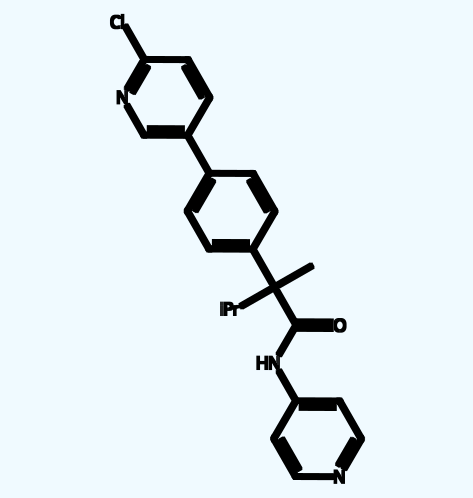 CC(C)C(C)(C(=O)Nc1ccncc1)c1ccc(-c2ccc(Cl)nc2)cc1